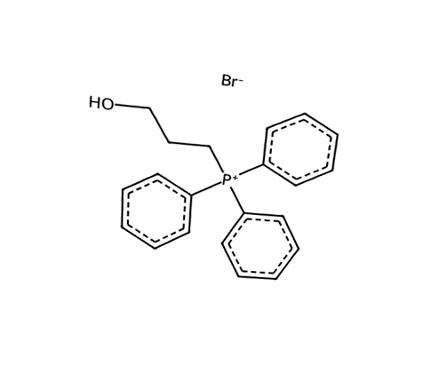 OCCC[P+](c1ccccc1)(c1ccccc1)c1ccccc1.[Br-]